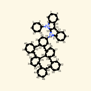 c1ccc(-n2c3ccccc3c3c4ccccc4n(-c4ccc5c(c4)c4cccc6c4-c4c(cccc4c4ccccc45)c4ccccc4c4ccccc64)c32)cc1